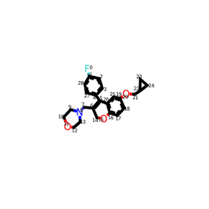 Fc1ccc(C2=C(CN3CCOCC3)COc3ccc(OCC4CC4)cc32)cc1